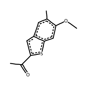 COc1cc2sc(C(C)=O)cc2cc1C